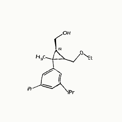 CCOCC1[C@H](CO)C1(C)c1cc(C(C)C)cc(C(C)C)c1